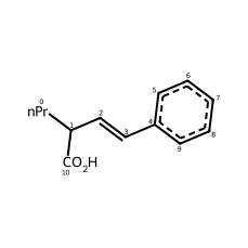 [CH2]CCC(C=Cc1ccccc1)C(=O)O